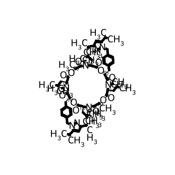 CC(C)C[C@H]1C(=O)O[C@H](Cc2ccc(Cn3nc(C(C)C)cc3C(C)C)cc2)C(=O)N(C)[C@@H](CC(C)C)C(=O)O[C@H](C)C(=O)N(C)[C@@H](CC(C)C)C(=O)O[C@H](Cc2ccc(Cn3nc(C(C)C)cc3C(C)C)cc2)C(=O)N(C)[C@@H](CC(C)C)C(=O)O[C@H](C)C(=O)N1C